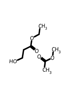 CCOC(=O)CCO.COC(C)=O